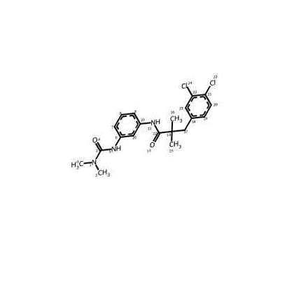 CN(C)C(=O)Nc1cccc(NC(=O)C(C)(C)Cc2ccc(Cl)c(Cl)c2)c1